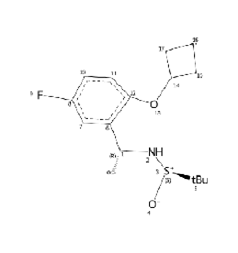 C[C@@H](N[S@+]([O-])C(C)(C)C)c1cc(F)ccc1OC1C[CH]C1